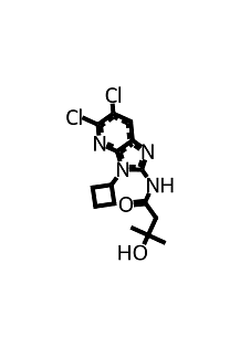 CC(C)(O)CC(=O)Nc1nc2cc(Cl)c(Cl)nc2n1C1CCC1